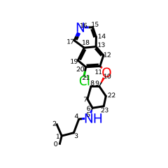 CC(C)CCN[C@H]1CC[C@@H](Oc2cc3ccncc3cc2Cl)CC1